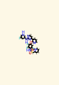 O=S(=O)(Cc1ccccn1)Nc1c(F)cc(Oc2ncccc2-c2ccnc(NC3CNC[C@@H](F)C3)n2)c(F)c1F